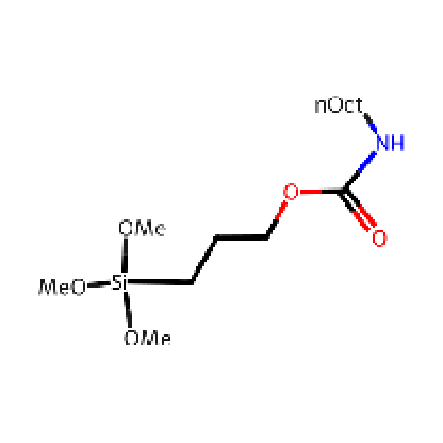 CCCCCCCCNC(=O)OCCC[Si](OC)(OC)OC